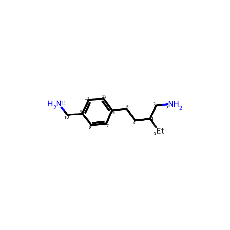 [CH2]CC(CN)CCc1ccc(CN)cc1